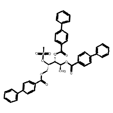 CS(=O)(=O)O[C@@H](COC(=O)c1ccc(-c2ccccc2)cc1)[C@H](OC(=O)c1ccc(-c2ccccc2)cc1)[C@H](C=O)OC(=O)c1ccc(-c2ccccc2)cc1